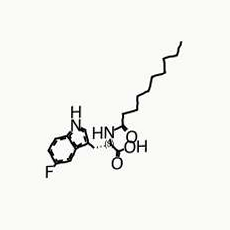 CCCCCCCCCC(=O)N[C@@H](Cc1c[nH]c2ccc(F)cc12)C(=O)O